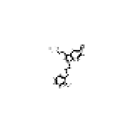 CCCc1cn(CCCc2ccccc2Br)c2ccc(Cl)cc12